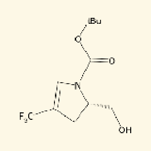 CC(C)(C)OC(=O)N1C=C(C(F)(F)F)C[C@H]1CO